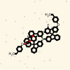 C=Cc1ccc(Oc2ccc(C3(c4cc(F)cc(F)c4F)c4ccccc4-c4ccc(N(c5cccc(-c6cccc(-c7ccccc7)c6)c5)c5ccc6c(c5)C(c5ccc(Oc7ccc(C=C)cc7)cc5)(c5cc(F)cc(F)c5F)c5ccccc5-6)cc43)cc2)cc1